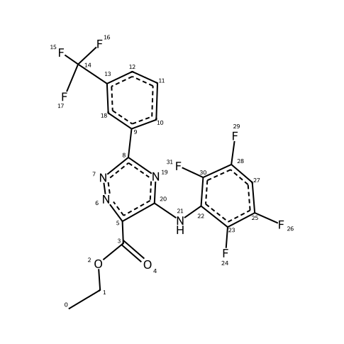 CCOC(=O)c1nnc(-c2cccc(C(F)(F)F)c2)nc1Nc1c(F)c(F)cc(F)c1F